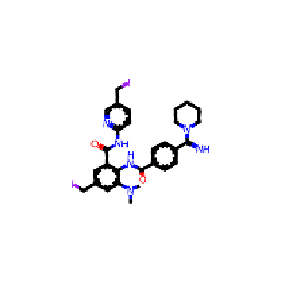 CN(C)c1cc(CI)cc(C(=O)Nc2ccc(CI)cn2)c1NC(=O)c1ccc(C(=N)N2CCCCC2)cc1